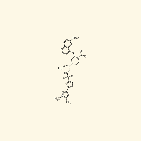 C=C[C@@H](CNS(=O)(=O)c1ccc(-c2cc(C(F)(F)F)n(C)n2)s1)[C@H]1CCN(C(=O)S)[C@H](Cc2ccnc3ccc(OC)cc23)C1